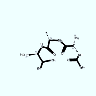 CCCC(=O)N[C@H](C(=O)N[C@@H](C)C(=O)N[C@H](C(=O)O)C(O)C(C)C)[C@@H](C)CC